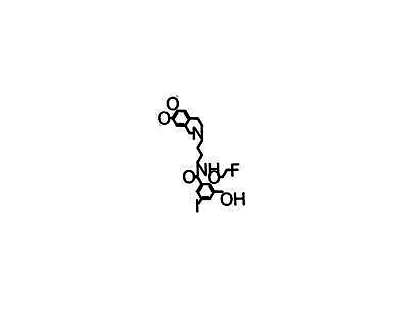 COc1cc2c(cc1OC)CN(CCCCNC(=O)c1cc(I)cc(CO)c1OCCF)CC2